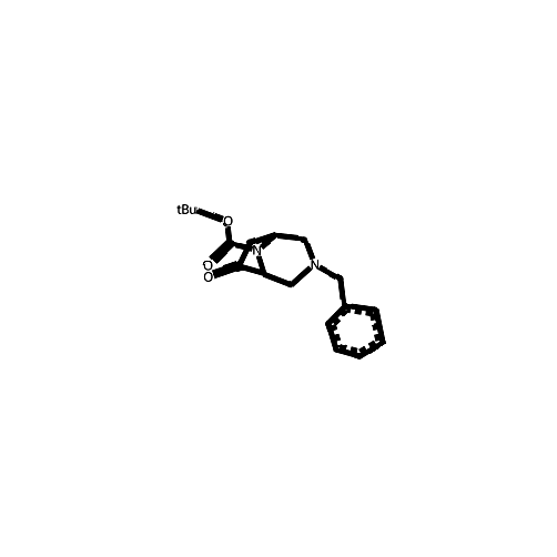 CC(C)(C)OC(=O)N1C2CC(=O)C1CN(Cc1ccccc1)C2